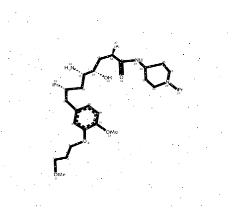 COCCCOc1cc(C[C@@H](C[C@H](N)[C@@H](O)C[C@H](C(=O)NC2CCN(C(C)C)CC2)C(C)C)C(C)C)ccc1OC